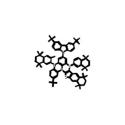 Cc1cc2c(cc1N1c3ccc(C(C)(C)C)cc3B3c4sc5cc6c(cc5c4N(c4ccc5c(c4)C(C)(C)CCC5(C)C)c4cc(-n5c7ccc(C(C)(C)C)cc7c7cc(C(C)(C)C)ccc75)cc1c43)C(C)(C)CCC6(C)C)C(C)(C)CCC2(C)C